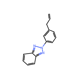 C=CCc1cccc(-n2nc3ccccc3n2)c1